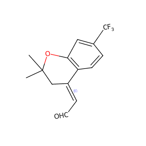 CC1(C)C/C(=C\C=O)c2ccc(C(F)(F)F)cc2O1